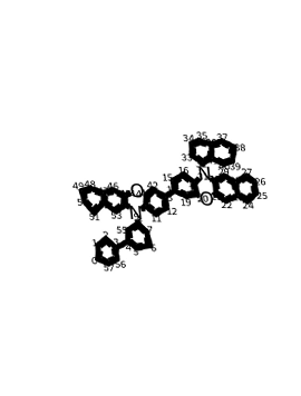 c1ccc(-c2cccc(N3c4ccc(-c5ccc6c(c5)Oc5cc7ccccc7cc5N6c5cccc6ccccc56)cc4Oc4cc5ccccc5cc43)c2)cc1